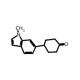 Cn1ccc2ccc(C3CCC(=O)CC3)cc21